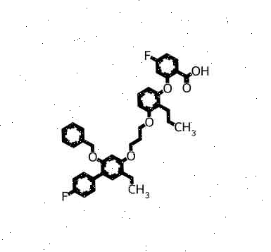 CCCc1c(OCCCOc2cc(OCc3ccccc3)c(-c3ccc(F)cc3)cc2CC)cccc1Oc1cc(F)ccc1C(=O)O